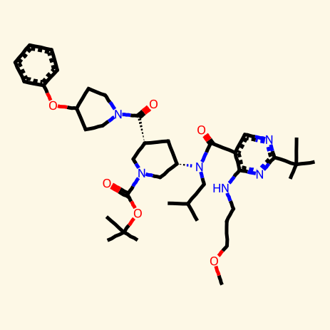 COCCCNc1nc(C(C)(C)C)ncc1C(=O)N(CC(C)C)[C@H]1C[C@@H](C(=O)N2CCC(Oc3ccccc3)CC2)CN(C(=O)OC(C)(C)C)C1